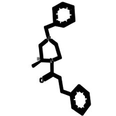 C[C@H]1CN(Cc2ccccc2)CCN1C(=O)CCc1ccccc1